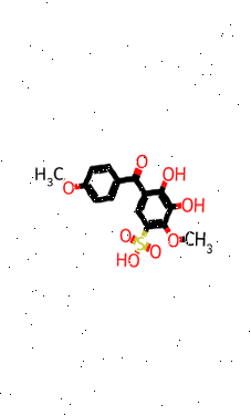 COc1ccc(C(=O)c2cc(S(=O)(=O)O)c(OC)c(O)c2O)cc1